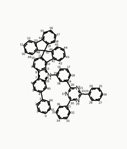 c1ccc(-c2ccc3c4ccc5c(c4n(-c4cccc(-c6nc(-c7ccccc7)nc(-c7ccccc7)n6)c4)c3c2)-c2ccccc2C52c3ccccc3-c3ccccc32)cc1